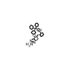 Nc1ncc2c(n1)CCC(=Cc1ccccc1-c1cn(C(c3ccccc3)(c3ccccc3)c3ccccc3)cn1)C2=O